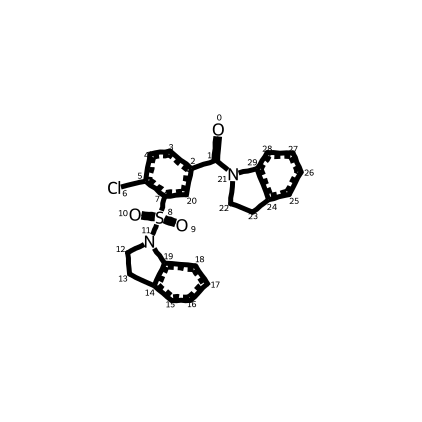 O=C(c1ccc(Cl)c(S(=O)(=O)N2CCc3ccccc32)c1)N1CCc2ccccc21